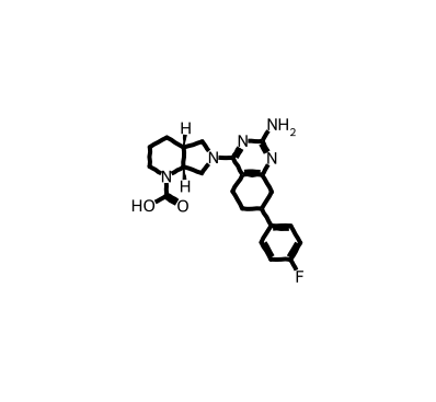 Nc1nc2c(c(N3C[C@H]4CCCN(C(=O)O)[C@H]4C3)n1)CCC(c1ccc(F)cc1)C2